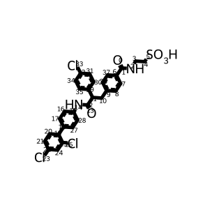 O=C(NCCS(=O)(=O)O)c1ccc(CC(C(=O)Nc2ccc(-c3ccc(Cl)cc3Cl)cc2)c2ccc(Cl)cc2)cc1